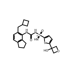 N=[S@@](=O)(NC(=O)Nc1c(CC2CCC2)ccc2c1CCC2)c1ccc(C2(O)COC2)s1